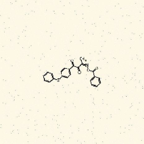 CC(=NOC(=O)c1ccccc1)C(=O)C(=O)c1ccc(Sc2ccccc2)cc1